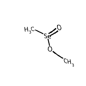 CO[Se](C)=O